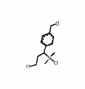 C[Si](C)(Cl)C(CCCl)c1ccc(CCl)cc1